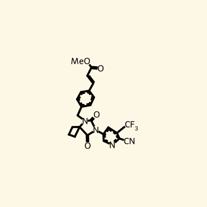 COC(=O)/C=C/c1ccc(CN2C(=O)N(c3cnc(C#N)c(C(F)(F)F)c3)C(=O)C23CCC3)cc1